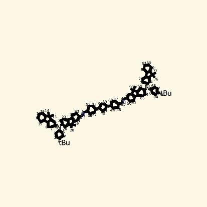 CC(C)(C)c1ccc(N(c2ccc3c(c2)C(C)(C)c2ccccc2-3)c2ccc3c(c2)C(C)(C)c2cc(/C=C/c4ccc(-c5ccc(-c6ccc(/C=C/c7ccc8c(c7)C(C)(C)c7cc(N(c9ccc(C(C)(C)C)cc9)c9ccc%10c(c9)C(C)(C)c9ccccc9-%10)ccc7-8)cc6)cc5)cc4)ccc2-3)cc1